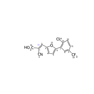 N#C/C(=C\c1ccc(-c2cc(C(F)(F)F)ccc2Cl)o1)C(=O)O